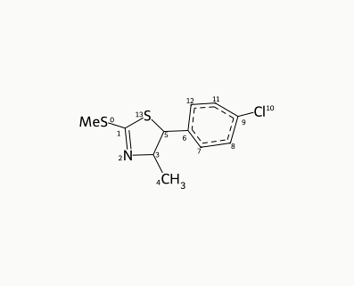 CSC1=NC(C)C(c2ccc(Cl)cc2)S1